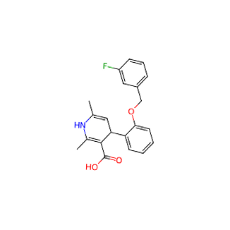 CC1=CC(c2ccccc2OCc2cccc(F)c2)C(C(=O)O)=C(C)N1